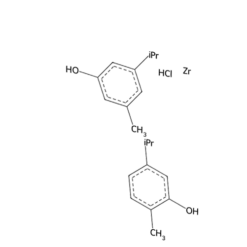 Cc1cc(O)cc(C(C)C)c1.Cc1ccc(C(C)C)cc1O.Cl.[Zr]